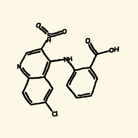 O=C(O)c1ccccc1Nc1c([SH](=O)=O)cnc2ccc(Cl)cc12